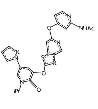 CC(=O)Nc1cc(Oc2cc3sc(Oc4cc(-n5cccn5)cn(C(C)C)c4=O)nc3cn2)ccn1